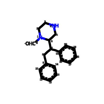 O=[C]N1CCNCC1C(Cc1ccccc1)c1ccccc1